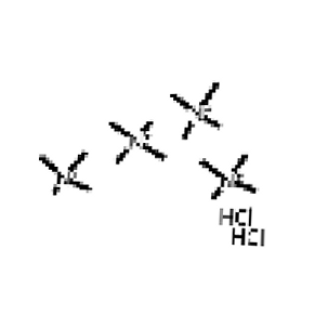 C[N+](C)(C)C.C[N+](C)(C)C.C[N+](C)(C)C.C[N+](C)(C)C.Cl.Cl